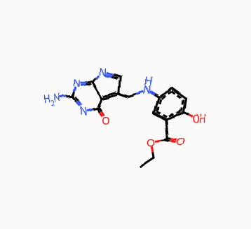 CCOC(=O)c1cc(NCC2=C3C(=O)N=C(N)N=C3N=C2)ccc1O